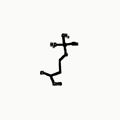 CC(C)(C)[Si](C)(C)OCCC(Cl)C=O